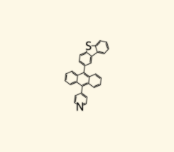 c1ccc2c(c1)sc1ccc(-c3c4ccccc4c(-c4ccncc4)c4ccccc34)cc12